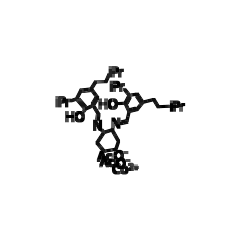 CC(=O)[O-].CC(=O)[O-].CC(C)CCc1cc(C=NC2CCCCC2N=Cc2cc(CCC(C)C)cc(C(C)C)c2O)c(O)c(C(C)C)c1.[Co+2]